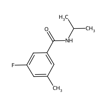 Cc1cc(F)cc(C(=O)NC(C)C)c1